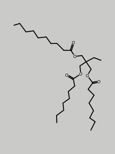 CCCCCCCCCC(=O)OCC(CC)(COC(=O)CCCCCCC)COC(=O)CCCCCCC